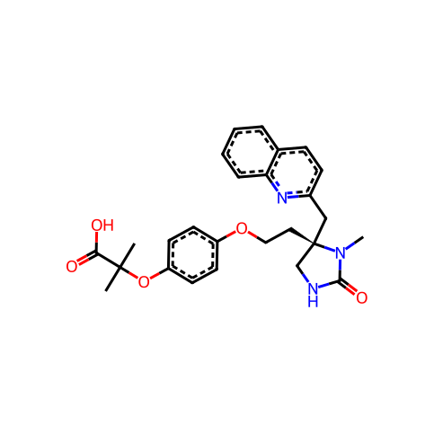 CN1C(=O)NC[C@]1(CCOc1ccc(OC(C)(C)C(=O)O)cc1)Cc1ccc2ccccc2n1